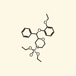 CCOc1ccccc1OC(c1ccccc1)C1CN(P(=O)(OCC)OCC)CCO1